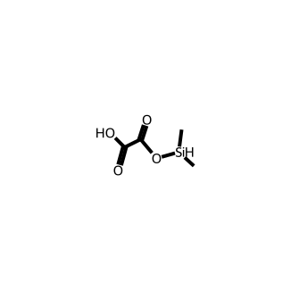 C[SiH](C)OC(=O)C(=O)O